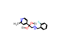 CCOC(CNCc1ccccc1F)(OCC)c1ccnc(C)c1